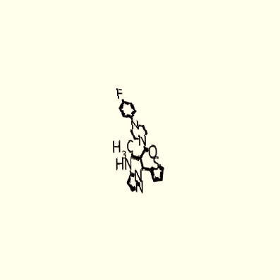 CC1=C(C(=O)N2CCN(c3ccc(F)cc3)CC2)C(c2cccs2)n2nccc2N1